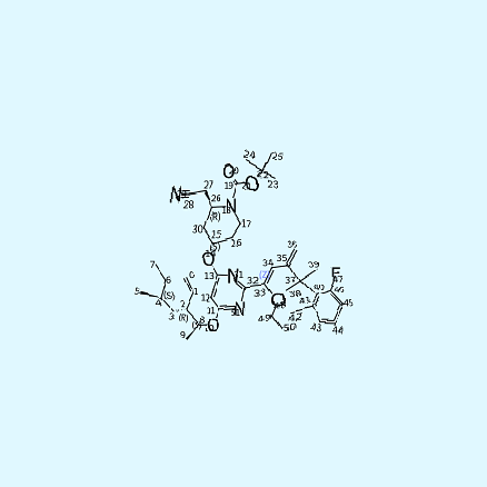 C=C[C@@H](C[C@@H](C)CC)[C@H](C)Oc1cc(O[C@H]2CCN(C(=O)OC(C)(C)C)[C@H](CC#N)C2)nc(/C(=C/C(=C)C(C)(C)C2=C(C)C=C=C=C2F)OCC)n1